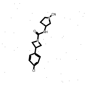 N#CN1CCC(NC(=O)N2CC(c3ccc(Cl)cc3)C2)C1